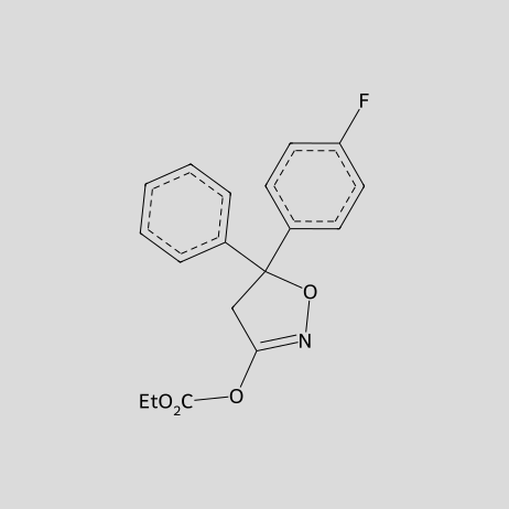 CCOC(=O)OC1=NOC(c2ccccc2)(c2ccc(F)cc2)C1